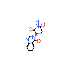 O=C1CC[C@H](n2cnc3ccccc3c2=O)C(=O)N1